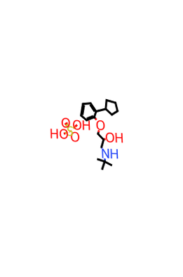 CC(C)(C)NCC(O)COc1ccccc1C1CCCC1.O=S(=O)(O)O